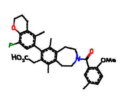 COc1ccc(C)cc1C(=O)N1CCc2c(C)c(CC(=O)O)c(-c3cc(F)c4c(c3C)CCCO4)c(C)c2CC1